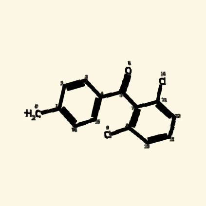 [CH2]c1ccc(C(=O)c2c(Cl)cccc2Cl)cc1